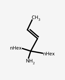 CC=CC(N)(CCCCCC)CCCCCC